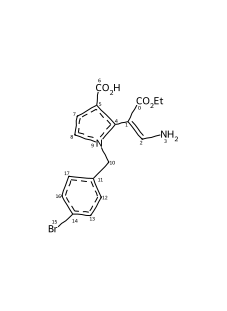 CCOC(=O)C(=CN)c1c(C(=O)O)ccn1Cc1ccc(Br)cc1